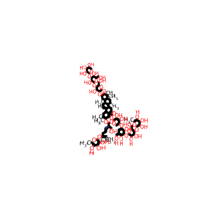 C=CC(C)(CC/C=C(\CO)C(=O)OC1CC2(C(=O)OC3OCC(OC4CC(CO)C(O)C(OC5OC(CO)C(OC6OC(C)C(O)C(O)C6O)C(O)C5O)C4O)C(O)C3O)CCC3(C)C(=CCC4C5(C)CCC(OC6OC(CO)C(OC7OC(CO)C(O)C(OC8OCC(O)C(O)C8O)C7O)C(O)C6O)C(C)(C)C5CCC43C)C2CC1(C)C)OC1OC(C)C(O)C(O)C1O